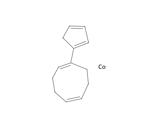 C1=CCC(C2=CCCC=CCC2)=C1.[Co]